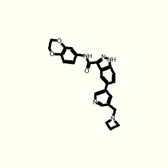 O=C(Nc1ccc2c(c1)OCCO2)c1n[nH]c2ccc(-c3cncc(CN4CCC4)c3)cc12